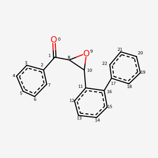 O=C(c1ccccc1)C1OC1c1ccccc1-c1ccccc1